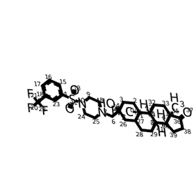 C[C@]12CCC(O)(CN3CCN(S(=O)(=O)c4cccc(C(F)(F)F)c4)CC3)CC1CC[C@@H]1[C@H]2CC[C@]2(C)C(=O)CC[C@@H]12